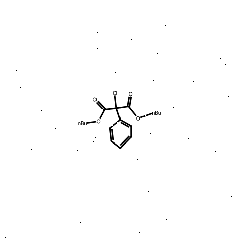 CCCCOC(=O)C(Cl)(C(=O)OCCCC)c1ccccc1